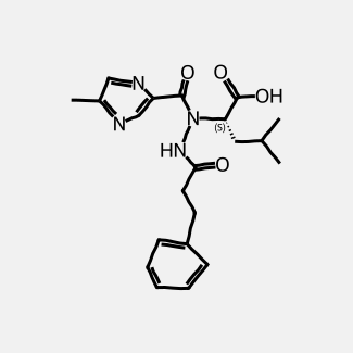 Cc1cnc(C(=O)N(NC(=O)CCc2ccccc2)[C@@H](CC(C)C)C(=O)O)cn1